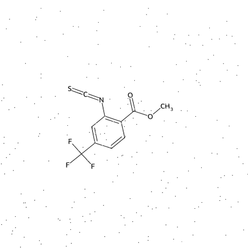 COC(=O)c1ccc(C(F)(F)F)cc1N=C=S